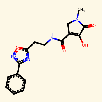 CN1CC(C(=O)NCCc2nc(-c3ccccc3)no2)=C(O)C1=O